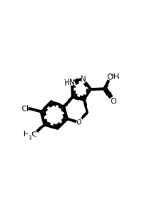 Cc1cc2c(cc1Cl)-c1[nH]nc(C(=O)O)c1CO2